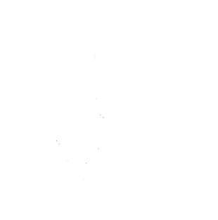 [2H]c1c([2H])c([2H])c2c(c1[2H])C(=O)N(C1C(=O)NC(=O)C([2H])([2H])C1([2H])[2H])C2=O